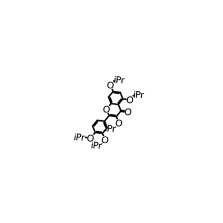 CC(C)Oc1cc(OC(C)C)c2c(=O)c(OC(C)C)c(-c3ccc(OC(C)C)c(OC(C)C)c3)oc2c1